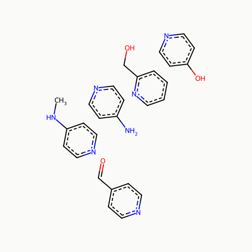 CNc1ccncc1.Nc1ccncc1.O=Cc1ccncc1.OCc1ccccn1.Oc1ccncc1